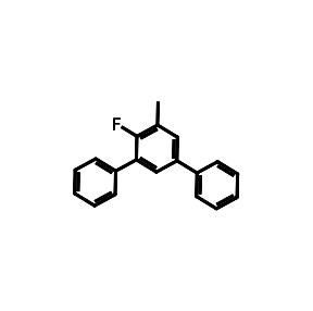 Cc1cc(-c2ccccc2)cc(-c2ccccc2)c1F